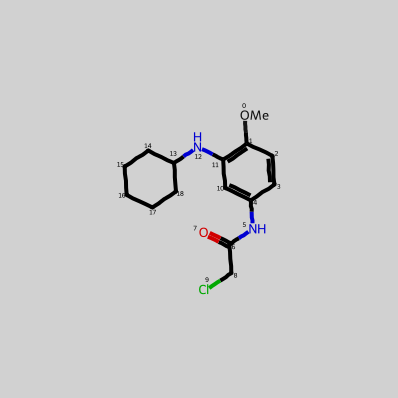 COc1ccc(NC(=O)CCl)cc1NC1CCCCC1